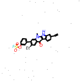 C#Cc1ccc2c(c1)[nH]c1c2c(=O)c2cc(CC)c(-c3cccc(OS(=O)(=O)F)c3)cc2n1C